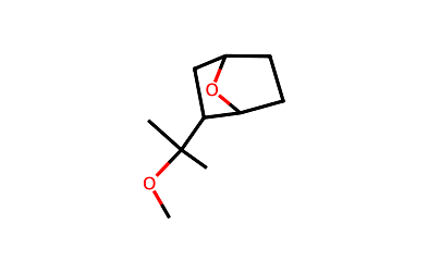 COC(C)(C)C1CC2CCC1O2